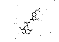 CC(C)=Cc1ccc2c(c1)C(=O)OC2CCNC(=O)Cn1c(=O)ccc2ccc(F)cc21